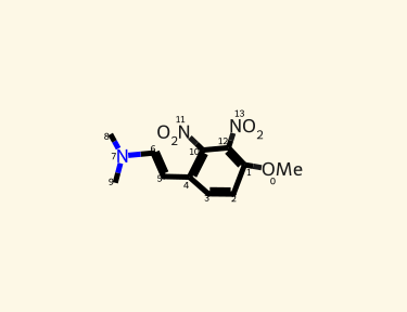 COc1ccc(C=CN(C)C)c([N+](=O)[O-])c1[N+](=O)[O-]